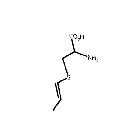 CC=CSCC(N)C(=O)O